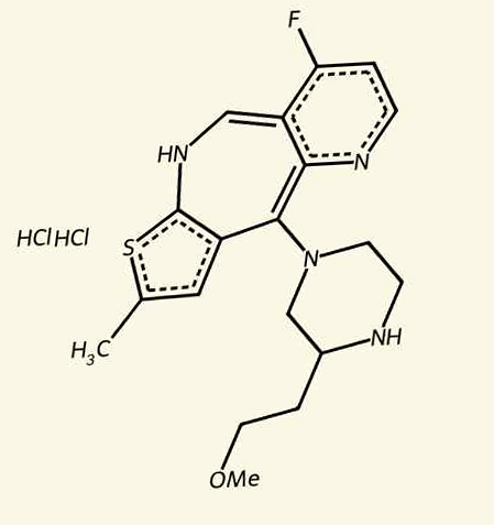 COCCC1CN(C2=c3nccc(F)c3=CNc3sc(C)cc32)CCN1.Cl.Cl